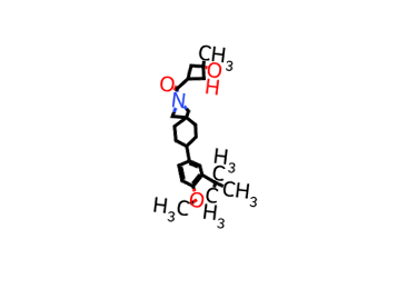 COc1ccc(C2CCC3(CC2)CN(C(=O)C2CC(C)(O)C2)C3)cc1C(C)(C)C